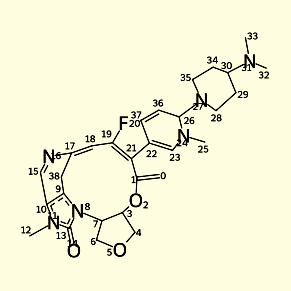 C=C1OC2COCC2n2c3c(n(C)c2=O)C=N/C(=C/C(F)=C\1C1=CN(C)C(N2CCC(N(C)C)CC2)C=C1)C3